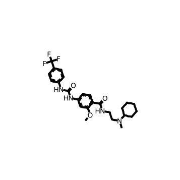 COc1cc(NC(=O)Nc2ccc(C(F)(F)F)cc2)ccc1C(=O)NCCN(C)C1CCCCC1